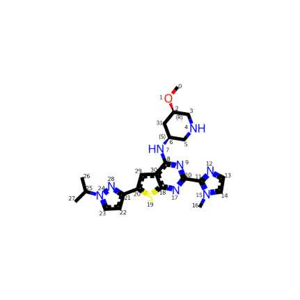 CO[C@H]1CNC[C@@H](Nc2nc(-c3nccn3C)nc3sc(-c4ccn(C(C)C)n4)cc23)C1